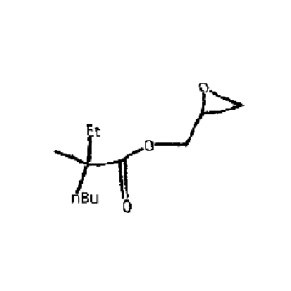 CCCCC(C)(CC)C(=O)OCC1CO1